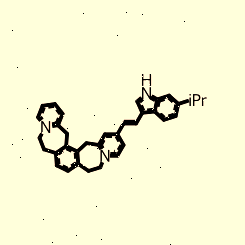 CC(C)c1ccc2c(/C=C/c3cc[n+]4c(c3)Cc3c(ccc5c3Cc3cccc[n+]3CC5)CC4)c[nH]c2c1